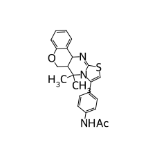 CC(=O)Nc1ccc(C2=CSC3=NC4c5ccccc5OCC4C(C)(C)N23)cc1